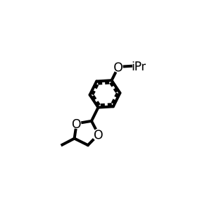 CC(C)Oc1ccc(C2OCC(C)O2)cc1